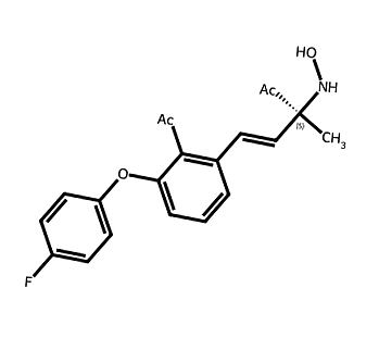 CC(=O)c1c(C=C[C@](C)(NO)C(C)=O)cccc1Oc1ccc(F)cc1